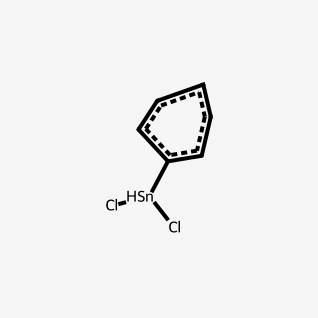 [Cl][SnH]([Cl])[c]1ccccc1